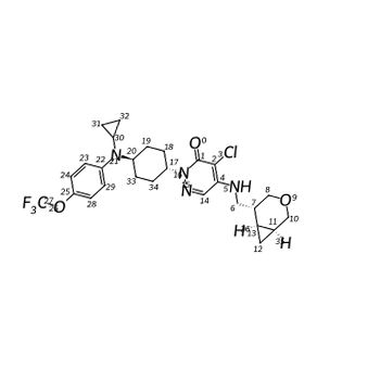 O=c1c(Cl)c(NC[C@@H]2COC[C@H]3C[C@@H]23)cnn1[C@H]1CC[C@H](N(c2ccc(OC(F)(F)F)cc2)C2CC2)CC1